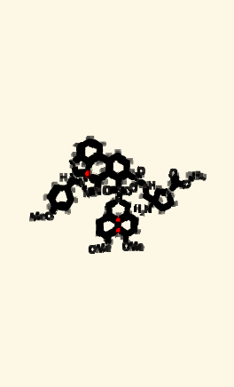 COc1ccc(CN(Cc2ccc(OC)cc2)S(=O)(=O)c2c(S(=O)(=O)NC[C@]3(N)CCN(C(=O)OC(C)(C)C)C3)ccc(-c3cccc4sc(N)nc34)c2-c2nnn(Cc3ccc(OC)cc3)n2)cc1